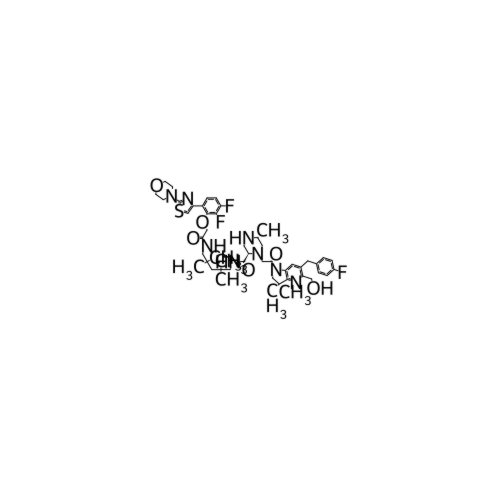 C[C@@H]1CN(CC(=O)N2CC(C)(C)c3nc(CO)c(Cc4ccc(F)cc4)cc32)[C@@H](C(=O)NCC(C)(C)CC(C)(C)CNC(=O)COc2c(-c3csc(N4CCOCC4)n3)ccc(F)c2F)CN1